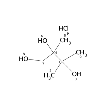 CC(C)(O)C(C)(O)CO.Cl